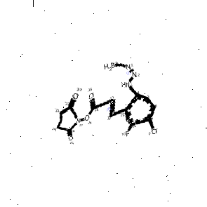 B/N=N\Nc1ccc(Cl)c(F)c1/C=C/C(=O)ON1C(=O)CCC1=O